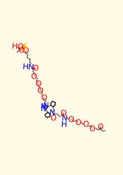 CCC(=O)CCOCCOCCOCCOCCNC(=O)CCC(=O)N1Cc2ccccc2-c2c(nnn2CCOCCOCCOCCOCCC(=O)NCCCCCCOP(O)(=S)OC(C)C)-c2ccccc21